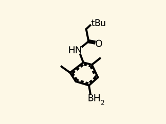 Bc1cc(C)c(NC(=O)CC(C)(C)C)c(C)c1